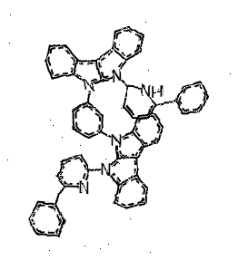 C1=CC(n2c3ccccc3c3c4ccccc4n(-c4cccc(-n5c6ccccc6c6c7ccccc7n(-c7cccc(-c8ccccc8)n7)c65)c4)c32)NC(c2ccccc2)=C1